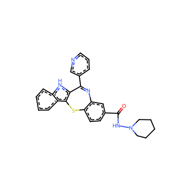 O=C(NN1CCCCC1)c1ccc2c(c1)N=C(c1cccnc1)c1[nH]c3ccccc3c1S2